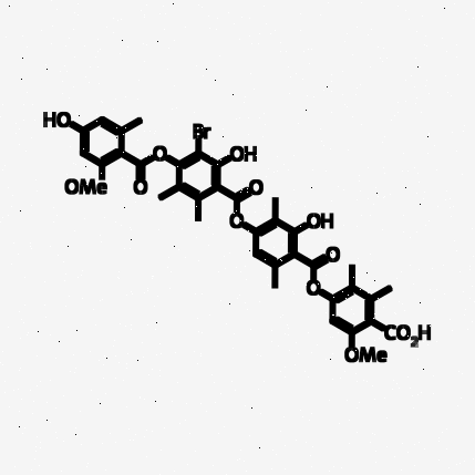 COc1cc(O)cc(C)c1C(=O)Oc1c(C)c(C)c(C(=O)Oc2cc(C)c(C(=O)Oc3cc(OC)c(C(=O)O)c(C)c3C)c(O)c2C)c(O)c1Br